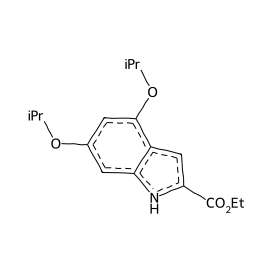 CCOC(=O)c1cc2c(OC(C)C)cc(OC(C)C)cc2[nH]1